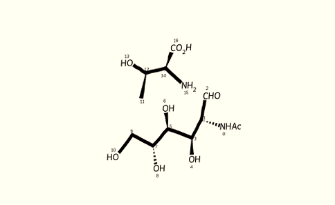 CC(=O)N[C@@H](C=O)[C@@H](O)[C@H](O)[C@H](O)CO.C[C@@H](O)[C@H](N)C(=O)O